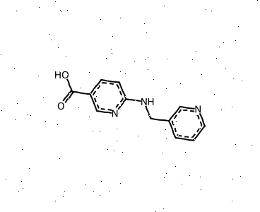 O=C(O)c1ccc(NCc2cccnc2)nc1